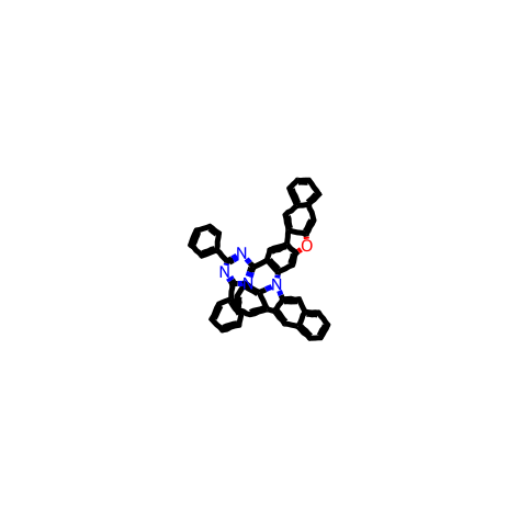 c1ccc(-c2nc(-c3ccccc3)nc(-c3cc4c(cc3-n3c5ccccc5c5cc6ccccc6cc53)oc3cc5ccccc5cc34)n2)cc1